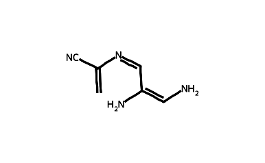 C=C(C#N)/N=C\C(N)=C/N